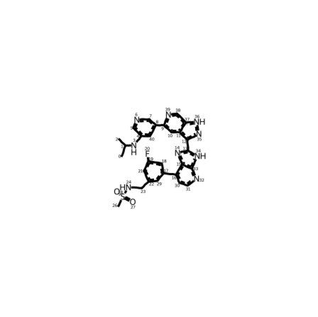 CC(C)Nc1cncc(-c2cc3c(-c4nc5c(-c6cc(F)cc(CNS(C)(=O)=O)c6)ccnc5[nH]4)n[nH]c3cn2)c1